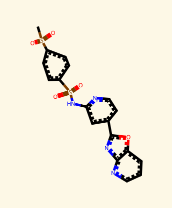 CS(=O)(=O)c1ccc(S(=O)(=O)Nc2cc(-c3nc4ncccc4o3)ccn2)cc1